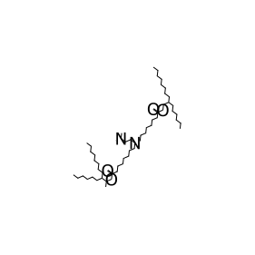 CCCCCCCCC(CCCCCC)COC(=O)CCCCCCCN(CCCCCCCC(=O)OC(C)C(CCCCCC)CCCCCCCC)CCN(C)C